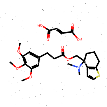 COc1cc(CCC(=O)OCC2(N(C)C)CCCc3sccc32)cc(OC)c1OC.O=C(O)/C=C/C(=O)O